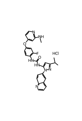 CNc1cc(Oc2ccc(NC(=O)Nc3cc(C(C)C)nn3-c3ccc4ncccc4c3)c(F)c2)ccn1.Cl